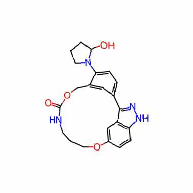 O=C1NCCCOc2ccc3[nH]nc(c3c2)-c2ccc(N3CCCC3O)c(c2)CO1